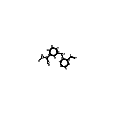 C=Cc1ccccc1Oc1cccc(C(=O)OC)c1